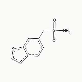 NS(=O)(=O)Cc1ccc2ccsc2c1